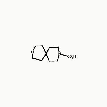 O=C(O)N1CCC2(CCOCC2)CC1